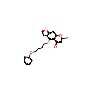 Cc1cc(=O)c2c(OCCCCOc3ccccc3)c3ccoc3cc2o1